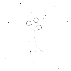 COC(CCCCCCCCCC(c1ccccc1)(c1ccccc1)c1ccccc1)P(=O)(O)O